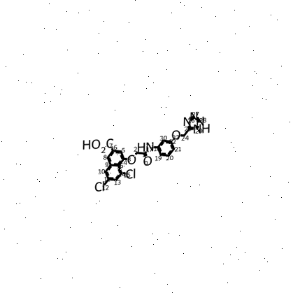 O=C(COc1cc(C(=O)O)cc2cc(Cl)cc(Cl)c12)Nc1cccc(OCc2nnn[nH]2)c1